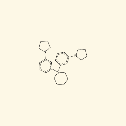 c1cc(N2CCCC2)cc(S2(c3cccc(N4CCCC4)c3)CCCCC2)c1